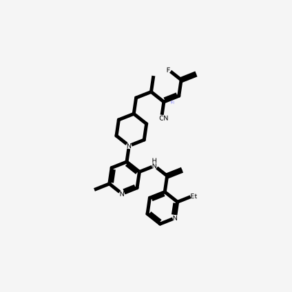 C=C(F)/C=C(/C#N)C(C)CC1CCN(c2cc(C)ncc2NC(=C)c2cccnc2CC)CC1